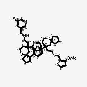 COc1ccsc1CNCCC1(c2ccc(C3CCCC34CC(CCNCc3cncc(F)c3)(c3ccccn3)CCO4)cn2)CCOC2(CCCC2)C1